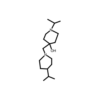 CC(C)C1CCN(CC2(O)CCN(C(C)C)CC2)CC1